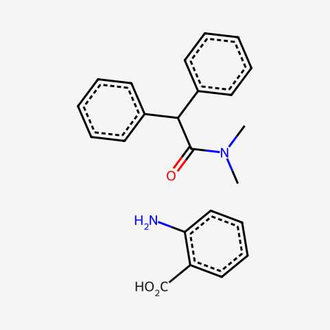 CN(C)C(=O)C(c1ccccc1)c1ccccc1.Nc1ccccc1C(=O)O